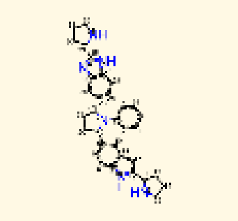 c1ccc(N2[C@@H](c3ccc4[nH]c(C5CCCN5)cc4c3)CC[C@@H]2c2ccc3[nH]c([C@@H]4CCCN4)nc3c2)cc1